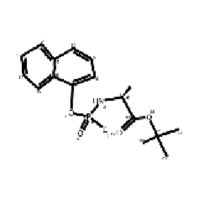 C[C@H](NP(=O)(Cl)Oc1cccc2ccccc12)C(=O)OC(C)(C)C